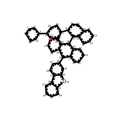 c1ccc(-c2ccc(-c3ccc4ccccc4c3-c3c4ccccc4c(-c4ccc5c(c4)oc4ccccc45)c4ccccc34)cc2)cc1